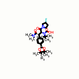 CN(C)C(=O)[C@@H](c1ccc(B2OC(C)(C)C(C)(C)O2)cc1)[C@@H](C(=O)N1CC[C@H](F)C1)N(C(=O)O)C(C)(C)C